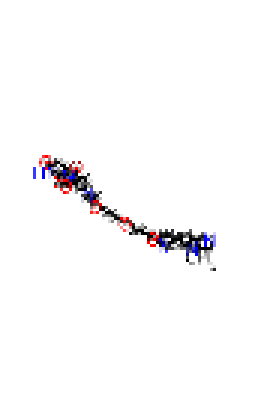 Cn1c2ccncc2c2ccc(-c3ccc(OCCCCCOCCCCCOC4CN(c5ccc6c(c5)C(=O)N(C5CCC(=O)NC5=O)C6=O)C4)nc3)cc21